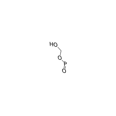 O=POCO